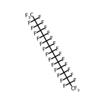 FC(F)(F)C(F)(F)C(F)(F)C(F)(F)C(F)(F)C(F)(F)C(F)(F)C(F)(F)C(F)(F)C(F)(F)C(F)(F)C(F)(F)C(F)(F)C(F)(F)C(F)(F)F